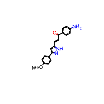 COc1ccc(-c2cc(C=CC(=O)c3ccc(N)cc3)[nH]n2)cc1